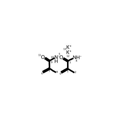 C=C(C)C([NH-])=O.C=C(C)C([NH-])=O.[K+].[K+]